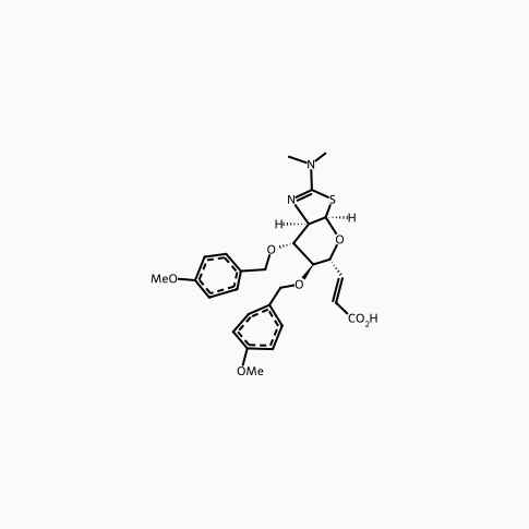 COc1ccc(CO[C@@H]2[C@H]3N=C(N(C)C)S[C@H]3O[C@H](C=CC(=O)O)[C@H]2OCc2ccc(OC)cc2)cc1